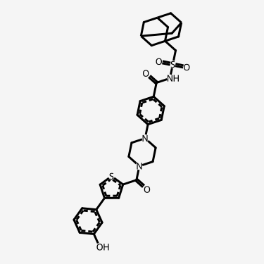 O=C(NS(=O)(=O)CC12CC3CC(CC(C3)C1)C2)c1ccc(N2CCN(C(=O)c3cc(-c4cccc(O)c4)cs3)CC2)cc1